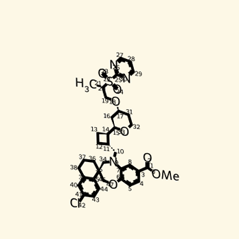 COC(=O)c1ccc2c(c1)N(C[C@@H]1CC[C@H]1[C@H]1C[C@H](OC[C@@H](C)S(=O)(=O)c3ncccn3)CCO1)C[C@@]1(CCCc3cc(Cl)ccc31)CO2